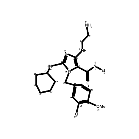 CCNC(=O)c1c(NCCN)nc(NC2CCCCC2)n1Cc1ccc(OC)c(Cl)c1